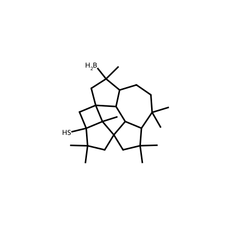 BC1(C)CC23CC4(S)C(C)(C)CC5(CC(C)(C)C6C5C2C1CCC6(C)C)C34C